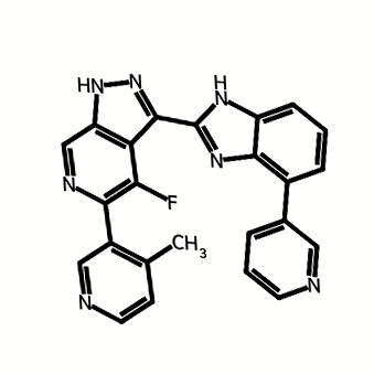 Cc1ccncc1-c1ncc2[nH]nc(-c3nc4c(-c5cccnc5)cccc4[nH]3)c2c1F